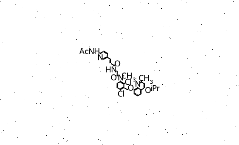 CC(=O)Nc1ccc(C=CC(=O)NCC(=O)N(C)c2ccc(Cl)c(COc3cccc4c(OC(C)C)cc(C)nc34)c2Cl)cn1